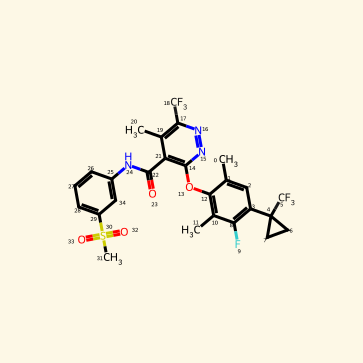 Cc1cc(C2(C(F)(F)F)CC2)c(F)c(C)c1Oc1nnc(C(F)(F)F)c(C)c1C(=O)Nc1cccc(S(C)(=O)=O)c1